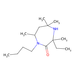 CCCCN1C(=O)C(C)(CC)NC(C)(C)CC1C